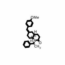 COc1ccc(C=C2CC[C@@H]3[C@H](CCC(=O)N3[C@H](C)c3ccccc3)C2)cc1